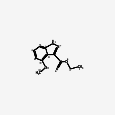 CCOC(=O)c1n[nH]c2cccc(OC)c12